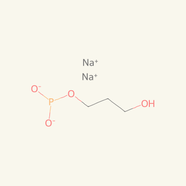 [Na+].[Na+].[O-]P([O-])OCCCO